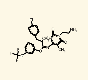 Cc1c(/N=C(/Oc2cccc(OC(F)(F)F)c2)C(C)Cc2ccc(Cl)cc2)n(C)c(=O)n(CCN)c1=O